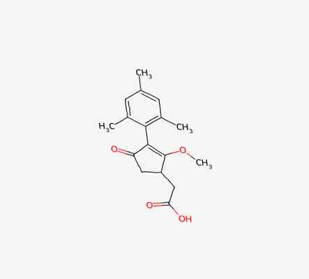 COC1=C(c2c(C)cc(C)cc2C)C(=O)CC1CC(=O)O